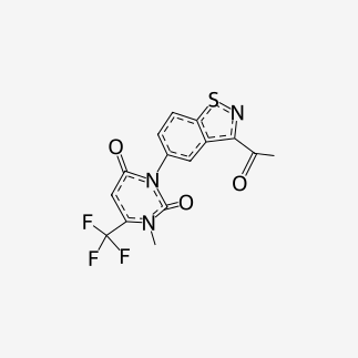 CC(=O)c1nsc2ccc(-n3c(=O)cc(C(F)(F)F)n(C)c3=O)cc12